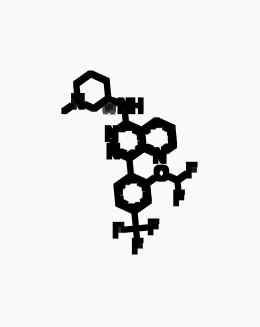 CN1CCC[C@@H](Nc2nnc(-c3ccc(C(F)(F)F)cc3OC(F)F)c3ncccc23)C1